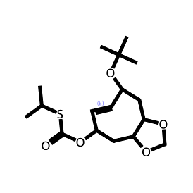 CC(C)SC(=O)OC1/C=C/C(OC(C)(C)C)CC2OCOC2C1